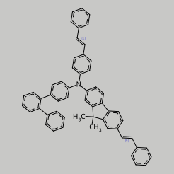 CC1(C)c2cc(/C=C/c3ccccc3)ccc2-c2ccc(N(c3ccc(/C=C/c4ccccc4)cc3)c3ccc(-c4ccccc4-c4ccccc4)cc3)cc21